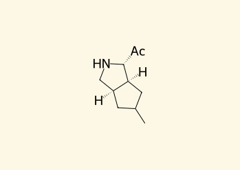 CC(=O)[C@H]1NC[C@@H]2CC(C)C[C@@H]21